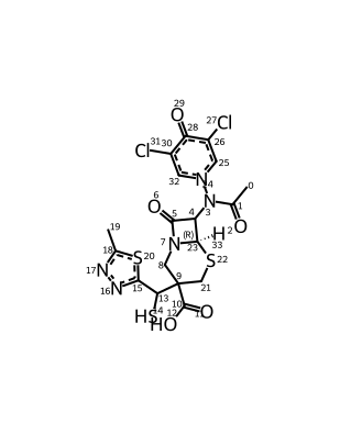 CC(=O)N(C1C(=O)N2CC(C(=O)O)(C(S)c3nnc(C)s3)CS[C@H]12)n1cc(Cl)c(=O)c(Cl)c1